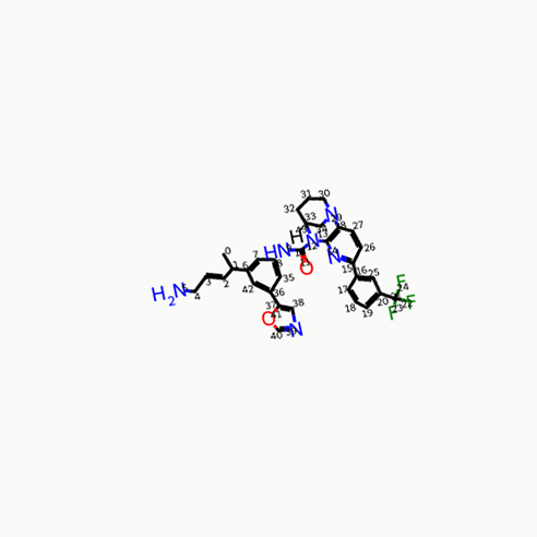 CC(/C=C/CN)c1cc(NC(=O)N2c3nc(-c4cccc(C(F)(F)F)c4)ccc3N3CCC[C@H]2C3)cc(-c2cnco2)c1